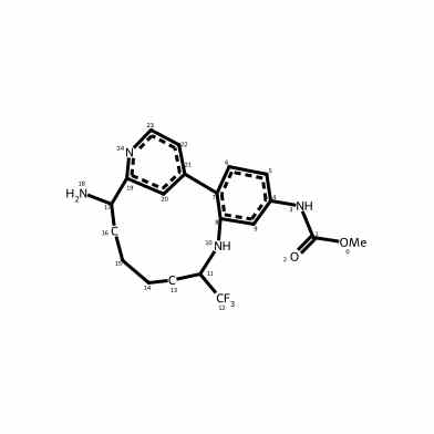 COC(=O)Nc1ccc2c(c1)NC(C(F)(F)F)CCCCC(N)c1cc-2ccn1